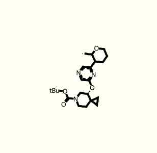 [CH2]C1OCCCC1c1cncc(O[C@H]2CN(C(=O)OC(C)(C)C)CCC23CC3)n1